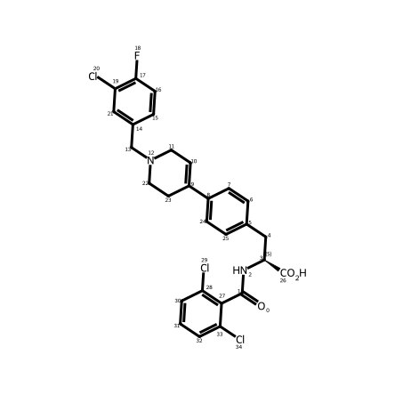 O=C(N[C@@H](Cc1ccc(C2=CCN(Cc3ccc(F)c(Cl)c3)CC2)cc1)C(=O)O)c1c(Cl)cccc1Cl